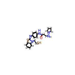 CN(CCC(=O)Nc1ccc(N=c2sc3ccccc3n2CCS)cc1)N1CCCC1